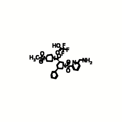 CS(=O)(=O)N1CCN(C(=O)[C@H]2C[C@H](c3ccccc3)CN(S(=O)(=O)c3cccc(CN)n3)C2)CC1.O=C(O)C(F)(F)F